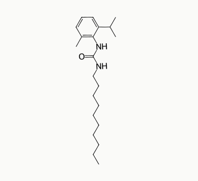 CCCCCCCCCCNC(=O)Nc1c(C)cccc1C(C)C